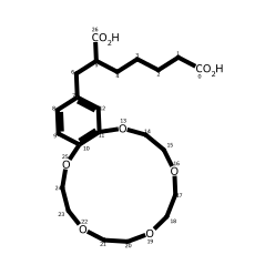 O=C(O)CCCCC(Cc1ccc2c(c1)OCCOCCOCCOCCO2)C(=O)O